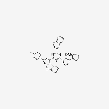 COc1c(-c2ccccc2)cccc1-c1nc(-c2ccc3ccccc3c2)nc(-c2cc(C3=CCC(C)C=C3)cc3oc4ccccc4c23)n1